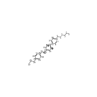 CCCCCCc1ccc(-c2ncc(OCc3ccc(CCC)cc3)cn2)cc1